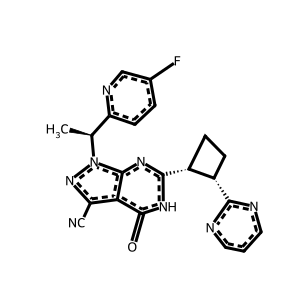 C[C@@H](c1ccc(F)cn1)n1nc(C#N)c2c(=O)[nH]c([C@@H]3CC[C@@H]3c3ncccn3)nc21